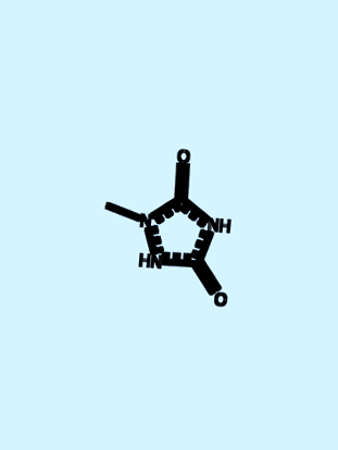 Cn1[nH]c(=O)[nH]c1=O